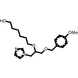 COc1ccc(COCC(Cn2ccnc2)OCCCCCCO)cc1